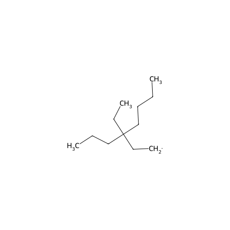 [CH2]CC(CC)(CCC)CCCC